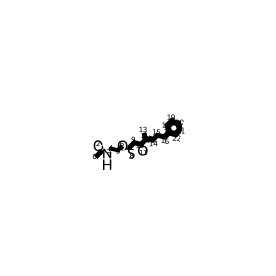 CC(=O)NCCOC(=S)CC(=O)/C(C)=C/CCc1ccccc1